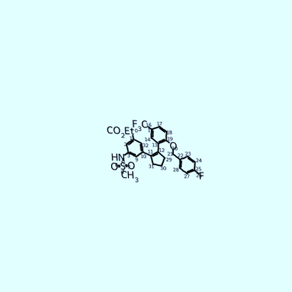 CCOC(=O)c1cc(NS(C)(=O)=O)cc(C2=C(c3cc(C(F)(F)F)ccc3OCc3ccc(F)cc3)CCC2)c1